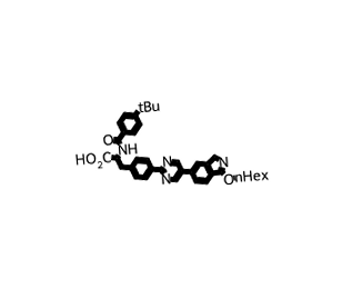 CCCCCCOC1=NCc2cc(-c3cnc(-c4ccc(CC(NC(=O)c5ccc(C(C)(C)C)cc5)C(=O)O)cc4)nc3)ccc21